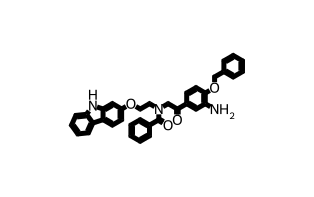 Nc1cc(C(=O)CN(CCOc2ccc3c(c2)[nH]c2ccccc23)C(=O)c2ccccc2)ccc1OCc1ccccc1